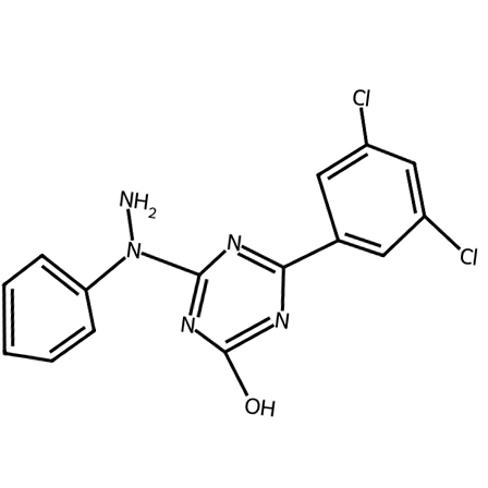 NN(c1ccccc1)c1nc(O)nc(-c2cc(Cl)cc(Cl)c2)n1